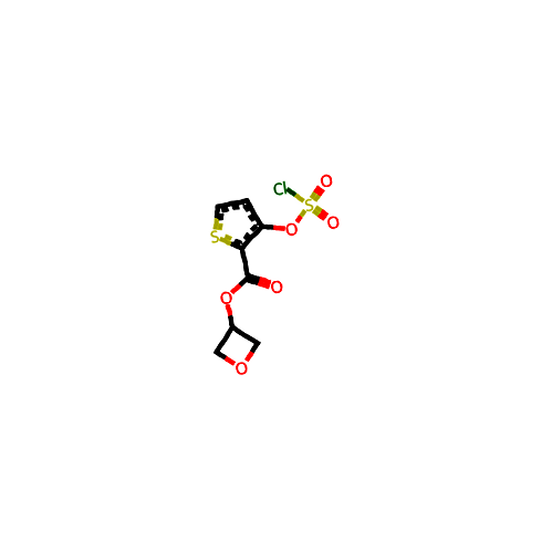 O=C(OC1COC1)c1sccc1OS(=O)(=O)Cl